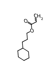 C=CC(=O)OCCCC1CCCCC1